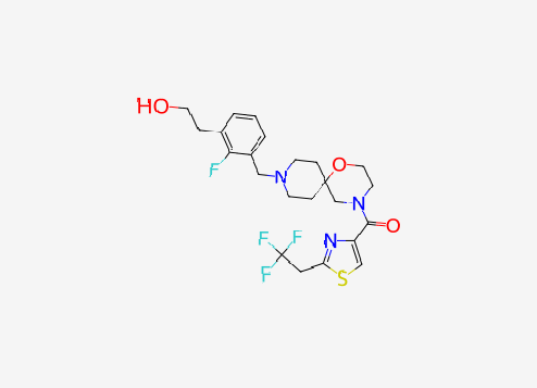 O=C(c1csc(CC(F)(F)F)n1)N1CCOC2(CCN(Cc3cccc(CCO)c3F)CC2)C1